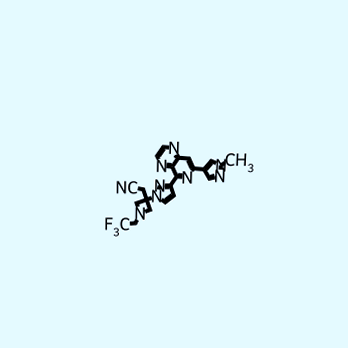 Cn1cc(-c2cc3nccnc3c(-c3ccn(C4(CC#N)CN(CC(F)(F)F)C4)n3)n2)cn1